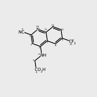 N#Cc1cc(NCC(=O)O)c2cc(C(F)(F)F)ccc2n1